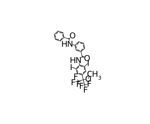 COC(c1cc(I)c(NC(=O)c2cccc(NC(=O)c3ccccc3)c2)c(I)c1)(C(F)(F)F)C(F)(F)F